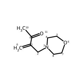 C=C(CN1CCOCC1)C(C)=O